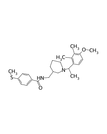 COc1ccc(C(C)N2CCCC(CNC(=O)c3ccc(SC)cc3)C2)c(C)c1C